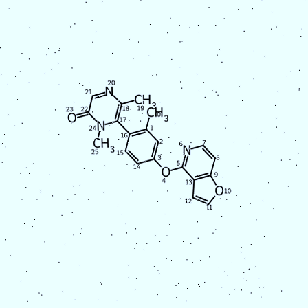 Cc1cc(Oc2nccc3occc23)ccc1-c1c(C)ncc(=O)n1C